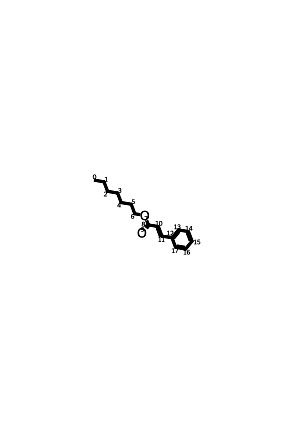 CCCCCCCOC(=O)C=Cc1ccccc1